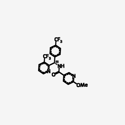 COc1ccc(C(=O)N[C@@H](c2ccc(C(F)(F)F)cc2)c2ncccc2C(F)(F)F)cn1